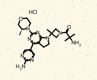 C[C@H]1COCCN1c1nc(-c2cnc(N)nc2)c2c(n1)N(C1(C)CN(C(=O)C(C)(C)N)C1)CC2.Cl